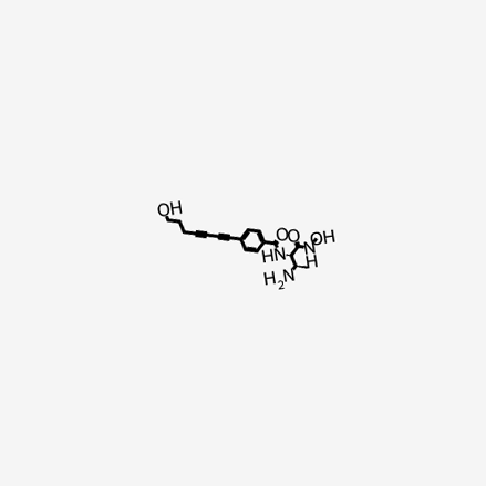 C[C@@H](N)[C@H](NC(=O)c1ccc(C#CC#CCCCO)cc1)C(=O)NO